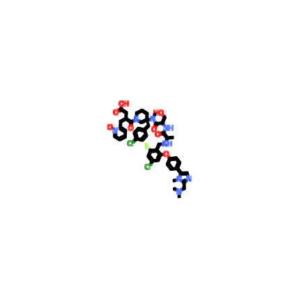 CC(NCc1c(F)cc(Cl)cc1Oc1ccc(-c2cnc(CN(C)C)n2C)cc1)C(=O)NC(CO)C(=O)N(C)[C@@]1(Cc2ccc(Cl)cc2)CCCN(C(=O)C(CC(=O)O)Cc2cccc[n+]2[O-])C1